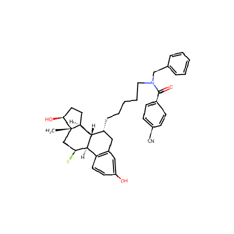 C[C@]12C[C@H](F)[C@@H]3c4ccc(O)cc4C[C@@H](CCCCCN(Cc4ccccc4)C(=O)c4ccc(C#N)cc4)[C@H]3[C@@H]1CC[C@@H]2O